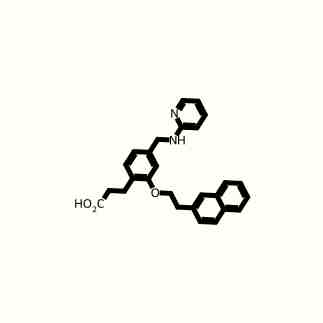 O=C(O)CCc1ccc(CNc2ccccn2)cc1OCCc1ccc2ccccc2c1